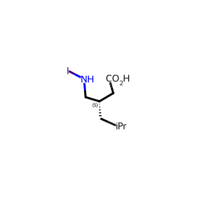 CC(C)C[C@H](CNI)CC(=O)O